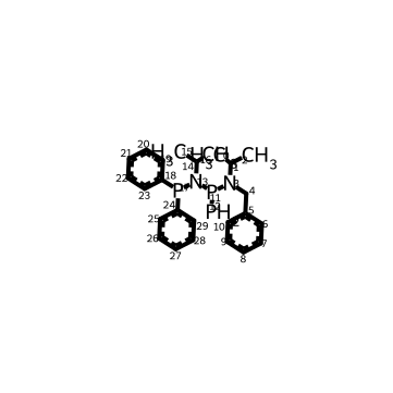 CC(C)N(Cc1ccccc1)P(P)N(C(C)C)P(c1ccccc1)c1ccccc1